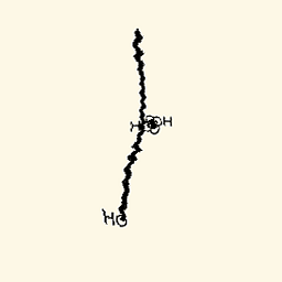 CCCCCCCCCCCCCCCCCCCCCCCCC=CCCCCCCCCO.O=S(=O)(O)O